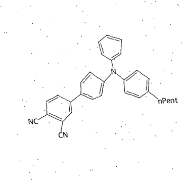 CCCCCc1ccc(N(c2ccccc2)c2ccc(-c3ccc(C#N)c(C#N)c3)cc2)cc1